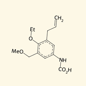 C=CCc1cc(NC(=O)O)cc(COC)c1OCC